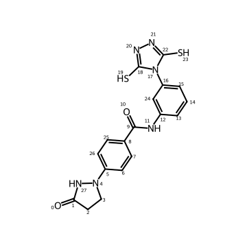 O=C1CCN(c2ccc(C(=O)Nc3cccc(-n4c(S)nnc4S)c3)cc2)N1